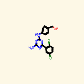 Nc1nc(Nc2ccc(CO)cc2)nc(-c2cc(Cl)ccc2Cl)n1